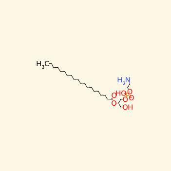 CCCCCCCCCCCCCCCCCCCC(=O)O[C@H](CO)COP(=O)(O)OCCN